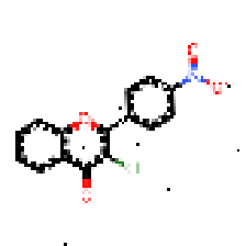 O=c1c(Cl)c(-c2ccc([N+](=O)[O-])cc2)oc2ccccc12